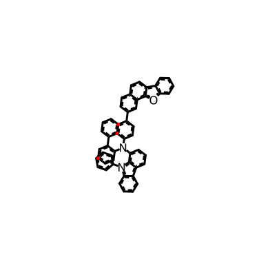 c1ccc(-c2ccccc2N(c2ccc(-c3ccc4ccc5c6ccccc6oc5c4c3)cc2)c2cccc3c4ccccc4n(-c4ccccc4)c23)cc1